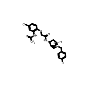 O=C(COc1ccc(Cl)cc1NC(=O)C(F)(F)F)N[C@@H]1C[C@@H]2CC1=CN2Cc1ccc(Cl)cc1